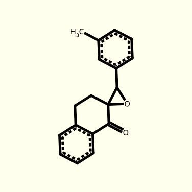 Cc1cccc(C2OC23CCc2ccccc2C3=O)c1